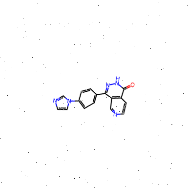 O=c1[nH]nc(-c2ccc(-n3ccnc3)cc2)c2cnccc12